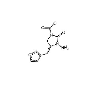 NN1C(=O)N(C(=O)Cl)CC1=Cc1ccoc1